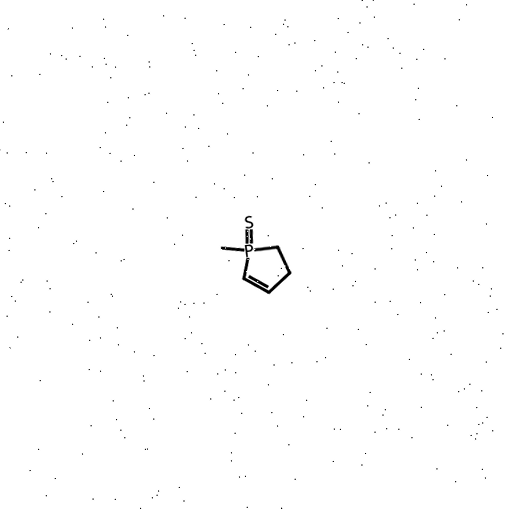 CP1(=S)C=CCC1